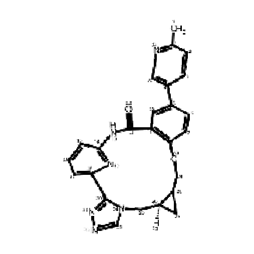 Cc1ccc(-c2ccc3c(c2)C(=O)Nc2cccc(n2)-c2nncn2C[C@@H]2CC2CO3)cn1